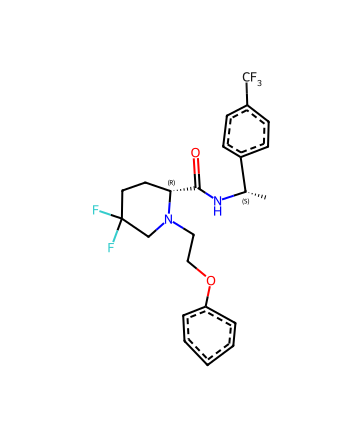 C[C@H](NC(=O)[C@H]1CCC(F)(F)CN1CCOc1ccccc1)c1ccc(C(F)(F)F)cc1